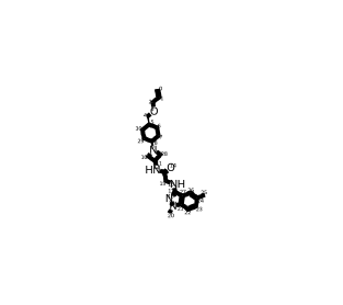 C=CCOC[C@H]1CC[C@@H](N2CC(NC(=O)CNc3nn(C)c4ccc(C)cc34)C2)CC1